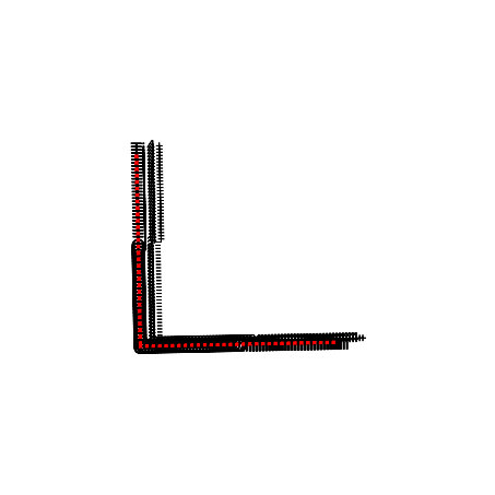 [O-2].[O-2].[O-2].[O-2].[O-2].[O-2].[O-2].[O-2].[O-2].[O-2].[O-2].[O-2].[O-2].[O-2].[O-2].[O-2].[O-2].[O-2].[O-2].[O-2].[O-2].[O-2].[O-2].[O-2].[O-2].[O-2].[O-2].[O-2].[O-2].[O-2].[O-2].[O-2].[O-2].[O-2].[O-2].[O-2].[O-2].[O-2].[O-2].[O-2].[O-2].[O-2].[O-2].[O-2].[O-2].[O-2].[O-2].[O-2].[O-2].[O-2].[O-2].[O-2].[O-2].[O-2].[O-2].[O-2].[O-2].[O-2].[O-2].[O-2].[O-2].[O-2].[O-2].[Ti+4].[Ti+4].[Ti+4].[Ti+4].[Ti+4].[Ti+4].[Ti+4].[Ti+4].[Ti+4].[Ti+4].[Ti+4].[Ti+4].[Ti+4].[Ti+4].[Ti+4].[Ti+4].[Ti+4].[Ti+4].[Ti+4].[Ti+4].[Ti+4].[Ti+4].[Ti+4].[Ti+4].[Ti+4].[Ti+4].[Ti+4].[Ti+4].[Ti+4].[Ti+4].[Ti+4].[Ti+4].[Ti+4].[Ti+4].[Ti+4].[Ti+4].[Ti+4].[Ti+4].[Ti+4].[Ti+4].[Ti+4].[Ti+4].[Ti+4].[Ti+4].[Ti+4].[Ti+4].[Ti+4].[Ti+4].[Ti+4].[Ti+4].[Ti+4].[Ti+4].[Ti+4].[Ti+4].[Ti+4].[Ti+4].[Ti+4].[Ti+4].[Ti+4].[Ti+4].[Ti+4]